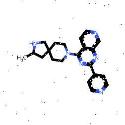 CC1CC2(CCN(c3nc(-c4ccncc4)nc4cnccc34)CC2)CN1